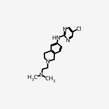 CN(C)CCN1CCc2cc(Nc3ncc(Cl)cn3)ccc2C1